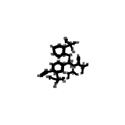 CCC(C)[C@@H](C(=O)N(C)C)N(Cc1ccccc1C(F)(F)F)c1ccc(C#N)c(C(F)(F)F)c1